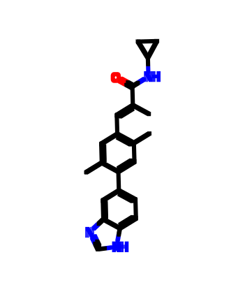 C/C(=C\c1cc(C)c(-c2ccc3[nH]cnc3c2)cc1C)C(=O)NC1CC1